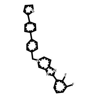 Fc1cccc(-c2nc3ccn(Cc4ccc(-c5ccc(-c6cccs6)cc5)cc4)cc-3n2)c1F